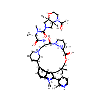 CCC(=O)N1CCO[C@H]2CN(C(=O)N(C)[C@H](C(=O)N[C@H]3CN4CCC=C(C4)c4ccc5c(c4)c(c(-c4cccnc4C(C)C)n5CC)CC(C)(C)COC(=O)[C@@H]4CCCN(N4)C3=O)C(C)C)C[C@H]21